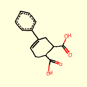 O=C(O)C1CC=C(c2ccccc2)CC1C(=O)O